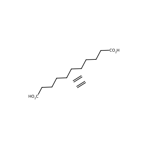 C=C.C=C.O=C(O)CCCCCCCCCC(=O)O